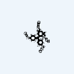 CC1(CN=C=O)CC(C(C2CCC(N=C=O)CC2)C2CCC(N=C=O)CC2)CC(C)(CN=C=O)C1